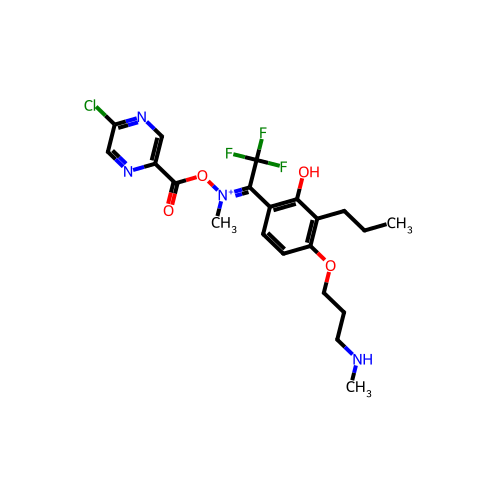 CCCc1c(OCCCNC)ccc(/C(=[N+](\C)OC(=O)c2cnc(Cl)cn2)C(F)(F)F)c1O